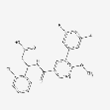 COc1ncc(C(=O)NC(CC(=O)O)c2ccccc2Cl)cc1-c1cc(F)cc(F)c1